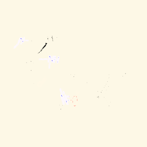 O=C(N[C@H]1CN2CCC1CC2)c1cc(-c2ccccc2)on1